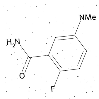 CNc1ccc(F)c(C(N)=O)c1